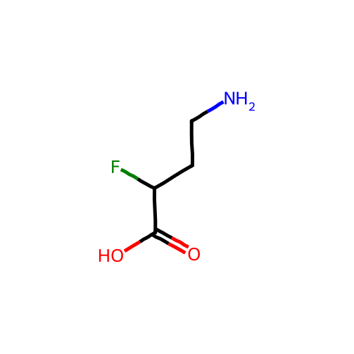 NCCC(F)C(=O)O